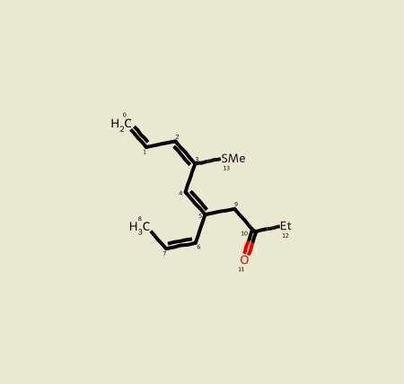 C=C\C=C(/C=C(/C=C\C)CC(=O)CC)SC